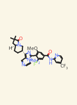 COc1cc(C(=O)Nc2cc(C(F)(F)F)ccn2)cc(F)c1C1=NC([C@@H]2CC[C@H]3CC(C)(C)C(=O)N3C2)=C2C=NC=C[N+]12N